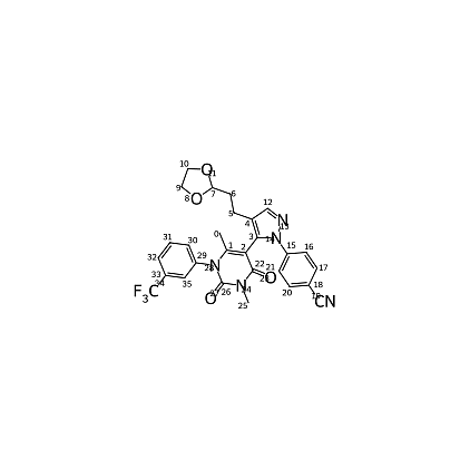 Cc1c(-c2c(CCC3OCCO3)cnn2-c2ccc(C#N)cc2)c(=O)n(C)c(=O)n1-c1cccc(C(F)(F)F)c1